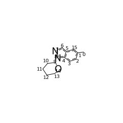 Cc1ccc2c(cnn2C2CCCCO2)c1